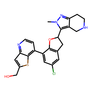 Cn1nc2c(c1C1Cc3cc(Cl)cc(-c4ccnc5cc(CO)sc45)c3O1)CNCC2